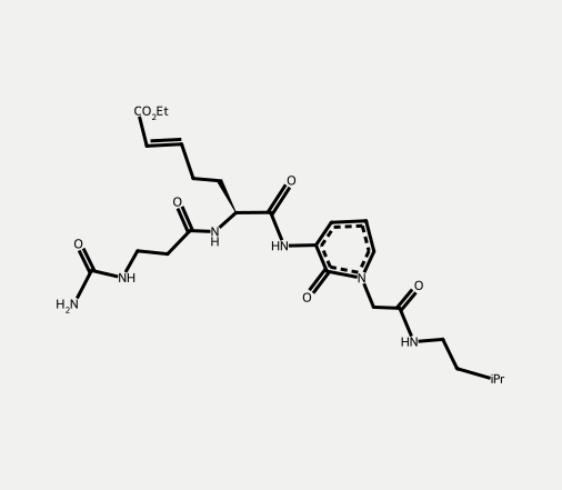 CCOC(=O)/C=C/CC[C@H](NC(=O)CCNC(N)=O)C(=O)Nc1cccn(CC(=O)NCCC(C)C)c1=O